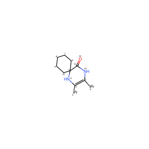 CC(C)C1=C(C(C)C)NC2(CCCCC2)C(=O)N1